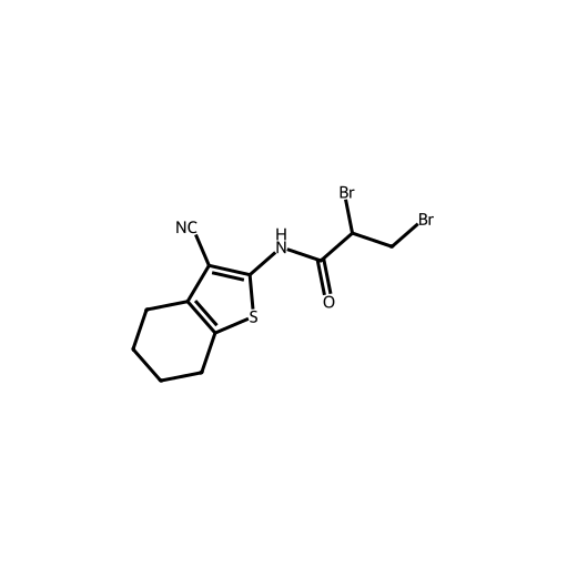 N#Cc1c(NC(=O)C(Br)CBr)sc2c1CCCC2